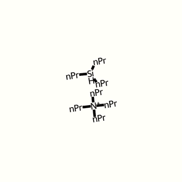 CCC[N+](CCC)(CCC)CCC.CCC[SiH](CCC)CCC